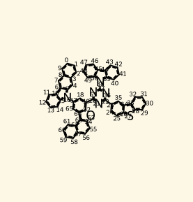 c1ccc2cc3c(cc2c1)c1ccccc1n3-c1cc(-c2nc(-c3ccc4sc5ccccc5c4c3)nc(-n3c4ccccc4c4ccccc43)n2)c2oc3ccc4ccccc4c3c2c1